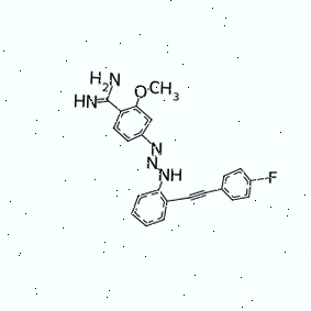 COc1cc(/N=N/Nc2ccccc2C#Cc2ccc(F)cc2)ccc1C(=N)N